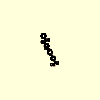 O=NC(=O)c1ccc(N2CCN(c3ccc(C(=O)Nc4ccccc4)cn3)CC2)cc1